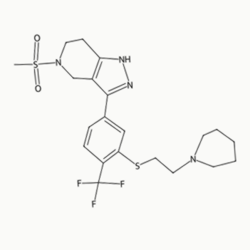 CS(=O)(=O)N1CCc2[nH]nc(-c3ccc(C(F)(F)F)c(SCCN4CCCCC4)c3)c2C1